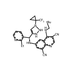 CCc1ncccc1[C@H](Nc1cc(C#N)c2ncc(C#N)c(NCC(C)(C)C)c2c1)C1=CN(C2(C(F)(F)F)CC2)NN1